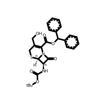 CC(C)(C)OC(=O)N[C@@H]1C(=O)N2C(C(=O)OC(c3ccccc3)c3ccccc3)=C(CO)CS[C@H]12